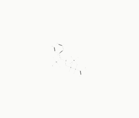 CC(C)(C)CC(C)(C(=O)O)C(C)(C)CNC(c1ccncc1)C(C)(C)C